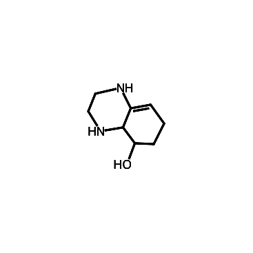 OC1CCC=C2NCCNC21